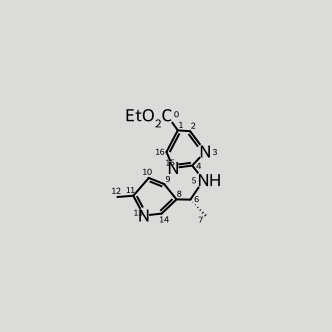 CCOC(=O)c1cnc(N[C@H](C)c2ccc(C)nc2)nc1